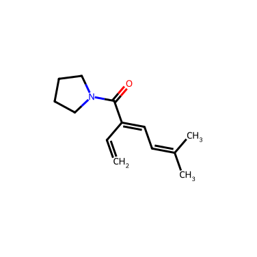 C=C/C(=C\C=C(C)C)C(=O)N1CCCC1